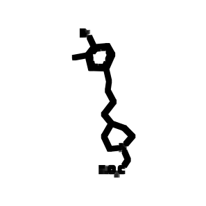 CCOC(=O)CN1CCC(CCCCc2ccc(Br)c(C)c2)CC1